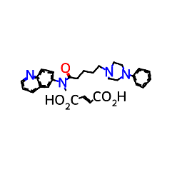 CN(C(=O)CCCCN1CCN(c2ccccc2)CC1)c1ccc2ncccc2c1.O=C(O)/C=C/C(=O)O